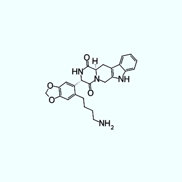 NCCCCc1cc2c(cc1[C@@H]1NC(=O)[C@H]3Cc4c([nH]c5ccccc45)CN3C1=O)OCO2